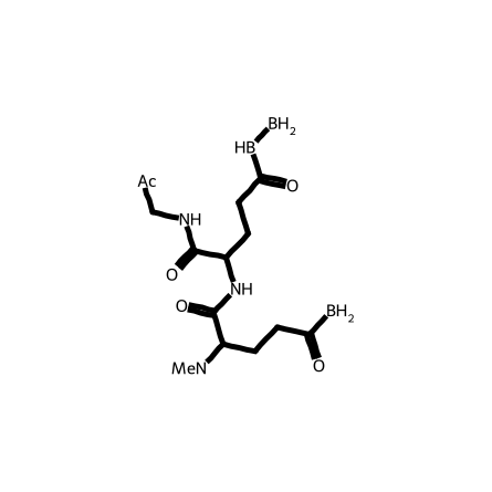 BBC(=O)CCC(NC(=O)C(CCC(B)=O)NC)C(=O)NCC(C)=O